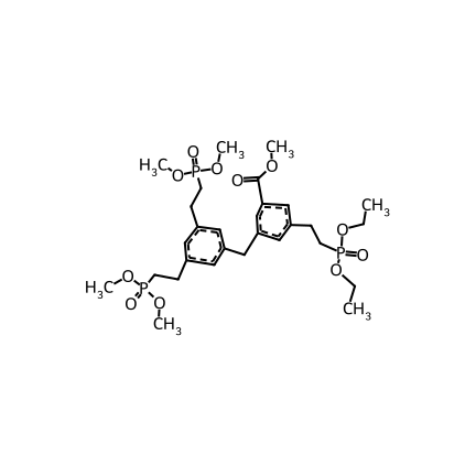 CCOP(=O)(CCc1cc(Cc2cc(CCP(=O)(OC)OC)cc(CCP(=O)(OC)OC)c2)cc(C(=O)OC)c1)OCC